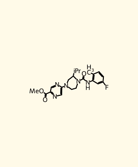 COC(=O)c1cnc(N2CCN(C(=O)Nc3cc(F)ccc3C)C(C(C)C)C2)cn1